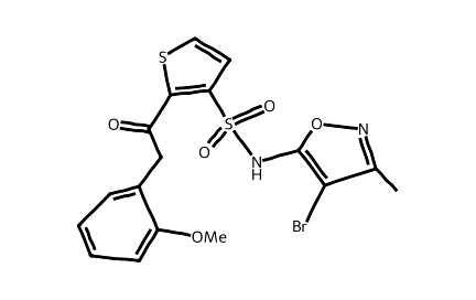 COc1ccccc1CC(=O)c1sccc1S(=O)(=O)Nc1onc(C)c1Br